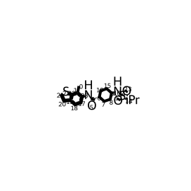 Cc1c(NC(=O)[C@H]2CC[C@H](NS(=O)(=O)C(C)C)CC2)ccc2ccsc12